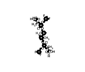 Cc1c(COc2cc(OCc3cc(F)cc(F)c3)c(CN(C)[C@@H](CO)C(=O)O)cc2Cl)cccc1-c1cccc(COc2cc(OCc3cc(F)cc(F)c3)c(CN(C)[C@@H](CO)C(=O)O)cc2Cl)c1C